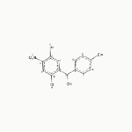 CC(C)c1cc(C(C#N)c2ccc(Cl)cc2)c(Cl)cc1[N+](=O)[O-]